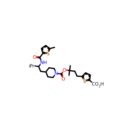 Cc1ccc(C(=O)NC(CC2CCN(C(=O)OC(C)(C)CCc3ccc(C(=O)O)s3)CC2)C(C)C)s1